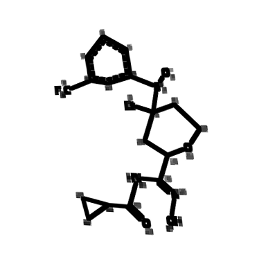 CCC1([S+]([O-])c2cccc(C(F)(F)F)c2)CCOC(/C(=N/O)NC(=O)C2CC2)C1